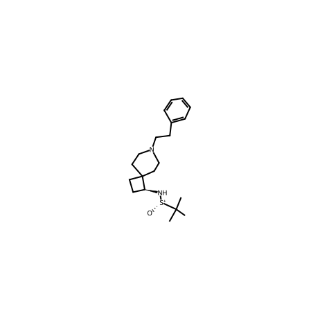 CC(C)(C)[S@+]([O-])N[C@H]1CCC12CCN(CCc1ccccc1)CC2